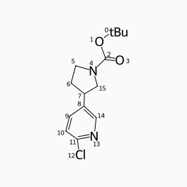 CC(C)(C)OC(=O)N1CCC(c2ccc(Cl)nc2)C1